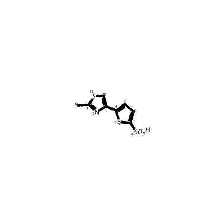 Cc1nc(-c2ccc(S(=O)(=O)O)s2)cs1